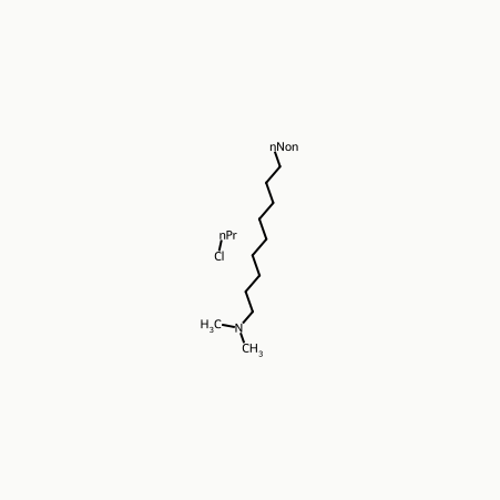 CCCCCCCCCCCCCCCCCCN(C)C.CCCCl